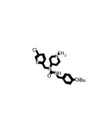 CC(C)COc1ccc(CNC(=O)N(Cc2ccc(Cl)cn2)C2CCN(C)CC2)cc1